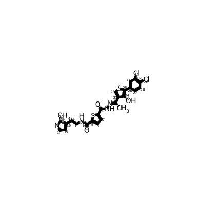 C/C(=N\NC(=O)c1ccc(C(=O)NCCc2ccnn2C)s1)c1csc(-c2ccc(Cl)c(Cl)c2)c1O